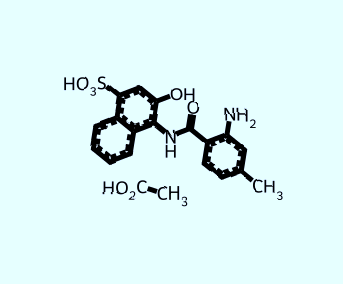 CC(=O)O.Cc1ccc(C(=O)Nc2c(O)cc(S(=O)(=O)O)c3ccccc23)c(N)c1